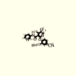 COc1cc(C#N)ccc1Oc1nnc(C(F)(F)F)c(C)c1C(=O)Nc1cccnc1